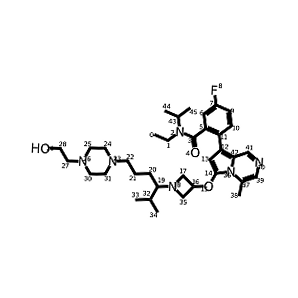 CCN(C(=O)c1cc(F)ccc1-c1cc(OC2CN(C(CCCN3CCN(CCO)CC3)C(C)C)C2)n2c(C)cncc12)C(C)C